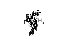 COc1ccc2nc(N3C4COCC3C4)sc2c1C(=O)Nc1cc(F)cc(F)c1C(=O)NC12COC(C(F)(F)F)(C1)C2